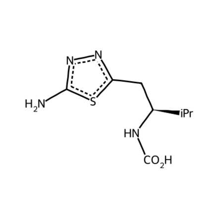 CC(C)[C@H](Cc1nnc(N)s1)NC(=O)O